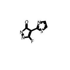 O=C1N=NC(F)=C1c1nccs1